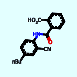 CCCCc1ccc(NC(=O)c2ccccc2C(=O)O)c(C#N)c1